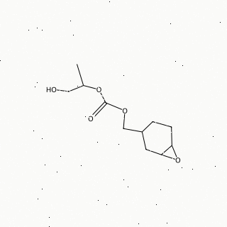 CC(CO)OC(=O)OCC1CCC2OC2C1